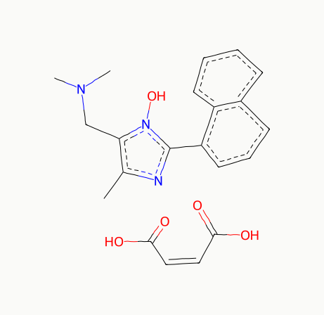 Cc1nc(-c2cccc3ccccc23)n(O)c1CN(C)C.O=C(O)/C=C\C(=O)O